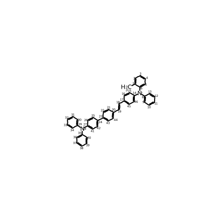 Cc1ccccc1N(c1ccccc1)c1ccc(/C=C/c2ccc(-c3ccc(N(c4ccccc4)c4ccccc4)cc3)cc2)cc1